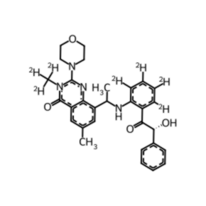 [2H]c1c([2H])c([2H])c(C(=O)[C@H](O)c2ccccc2)c(NC(C)c2cc(C)cc3c(=O)n(C([2H])([2H])[2H])c(N4CCOCC4)nc23)c1[2H]